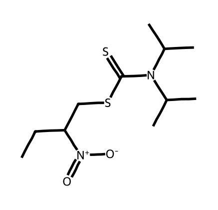 CCC(CSC(=S)N(C(C)C)C(C)C)[N+](=O)[O-]